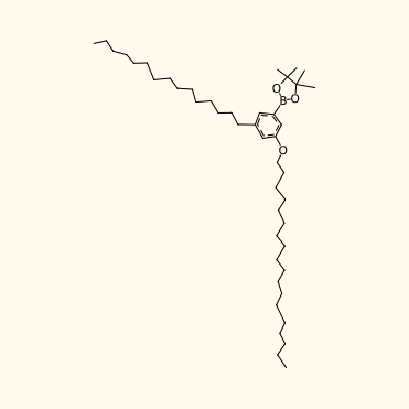 CCCCCCCCCCCCCCCCCCOc1cc(CCCCCCCCCCCCCCC)cc(B2OC(C)(C)C(C)(C)O2)c1